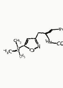 CC(C)CC(Cc1cc([Si](C)(C)C)on1)NC(=O)O